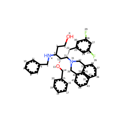 OCCC(NCc1ccccc1)[C@@H](OCc1ccccc1)[C@H](Cc1cc(F)cc(F)c1)N(Cc1ccccc1)Cc1ccccc1